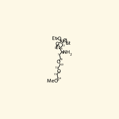 CCO[Si](CCC(N)CCOCCOCCOC)(OCC)OCC